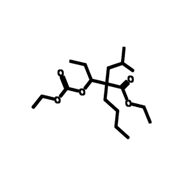 CCCCC(CC(C)C)(C(=O)OCC)C(CC)OC(=O)OCC